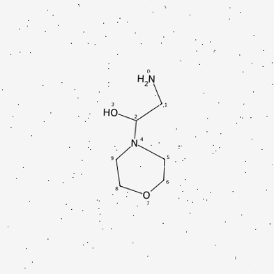 NCC(O)N1CCOCC1